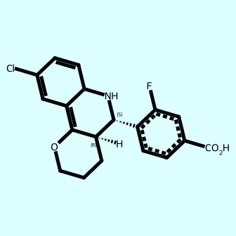 O=C(O)c1ccc([C@H]2NC3C=CC(Cl)=CC3=C3OCCC[C@@H]32)c(F)c1